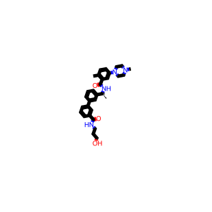 Cc1ccc(N2CCN(C)CC2)cc1C(=O)N[C@H](C)c1cccc(-c2cccc(C(=O)NCCCO)c2)c1